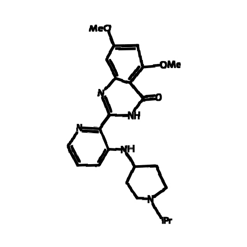 COc1cc(OC)c2c(=O)[nH]c(-c3ncccc3NC3CCN(C(C)C)CC3)nc2c1